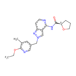 Cc1cc(Cn2cc3c(NC(=O)[C@H]4CCCO4)nccc3n2)cnc1OCC(F)(F)F